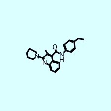 CCc1ccc(NC(=O)c2c(C)c(N3CCCCC3)nc3ccccc23)cc1